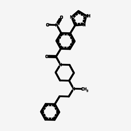 CN(CCc1ccccc1)C1CCN(C(=O)c2ccc(-c3nc[nH]n3)c([N+](=O)[O-])c2)CC1